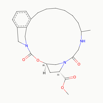 COC(=O)[C@@H]1C[C@@H]2CN1C(=O)CNC(C)CCCCCCc1cccc3c1CN(C3)C(=O)O2